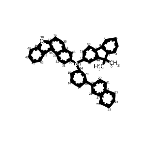 CC1(C)c2ccccc2-c2ccc(N(c3cccc(-c4ccc5ccccc5c4)c3)c3ccc4c(ccc5oc6ccccc6c54)c3)cc21